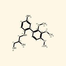 COc1ccc(-c2cc(N)ccc2NCC(O)CO)c(OC)c1OC